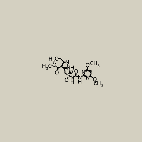 CCc1n[nH]c(CS(=O)(=O)NC(=O)Nc2nc(OC)cc(OC)n2)c1C(=O)OC